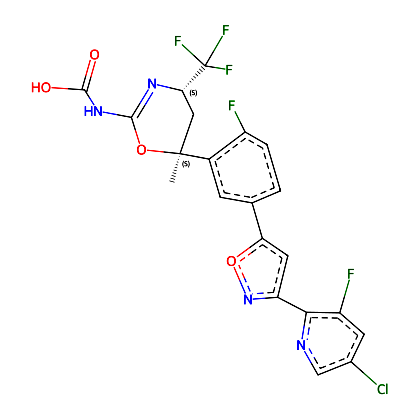 C[C@@]1(c2cc(-c3cc(-c4ncc(Cl)cc4F)no3)ccc2F)C[C@@H](C(F)(F)F)N=C(NC(=O)O)O1